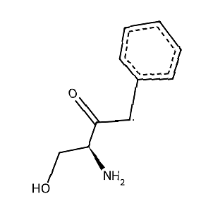 N[C@@H](CO)C(=O)[CH]c1ccccc1